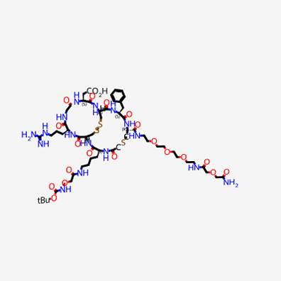 CC(C)(C)OC(=O)NOCC(=O)NCCCC[C@@H]1NC(=O)CSC[C@@H](C(=O)NCCOCCOCCOCCNC(=O)COCC(N)=O)NC(=O)[C@H](Cc2ccccc2)NC(=O)[C@@H]2CSSC[C@H](NC1=O)C(=O)N[C@@H](CCCNC(=N)N)C(=O)NCC(=O)N[C@@H](CC(=O)O)C(=O)N2